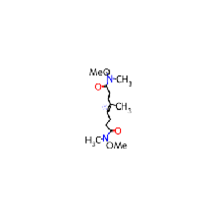 CON(C)C(=O)CC/C=C(\C)CCC(=O)N(C)OC